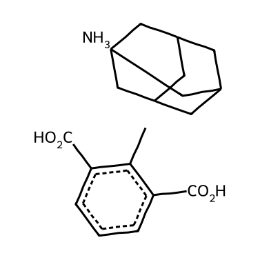 C1C2CC3CC1CC(C2)C3.Cc1c(C(=O)O)cccc1C(=O)O.N